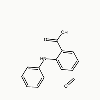 C=O.O=C(O)c1ccccc1Nc1ccccc1